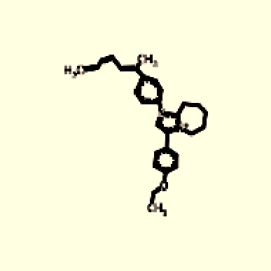 C=C/C=C\C=C(/C)c1ccc(-n2cc(-c3ccc(OCC)cc3)[n+]3c2CCCCC3)cc1